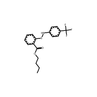 CCCCOC(=O)c1ccccc1SNc1ccc(C(F)(F)F)cc1